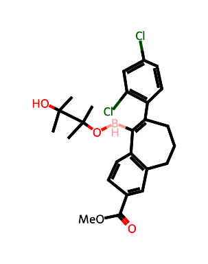 COC(=O)c1ccc2c(c1)CCCC(c1ccc(Cl)cc1Cl)=C2BOC(C)(C)C(C)(C)O